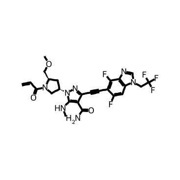 C=CC(=O)N1C[C@@H](n2nc(C#Cc3c(F)cc4c(ncn4CC(F)(F)F)c3F)c(C(N)=O)c2NC)C[C@@H]1COC